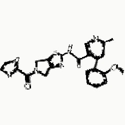 COc1ccccc1-c1cc(C)ncc1C(=O)Nc1nc2c(s1)CN(C(=O)c1ncco1)C2